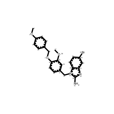 COc1ccc(COc2ccc(Cn3c(N)nc4cc(Br)ccc43)cc2OC)cc1